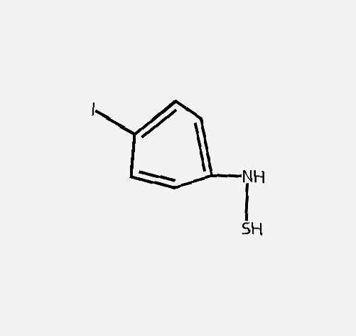 SNc1ccc(I)cc1